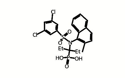 CCC(CC)(N(c1c(C)ccc2ccccc12)S(=O)(=O)c1cc(Cl)cc(Cl)c1)P(=O)(O)O